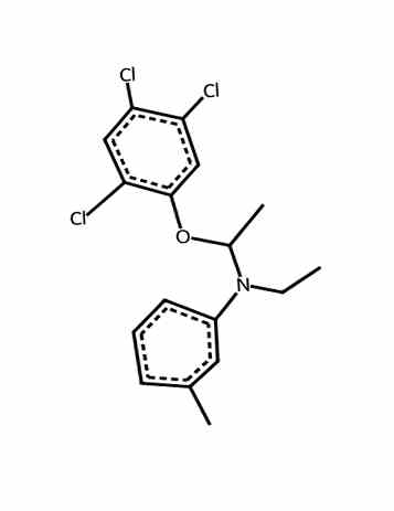 CCN(c1cccc(C)c1)C(C)Oc1cc(Cl)c(Cl)cc1Cl